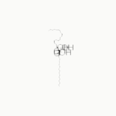 CCCCC/C=C\C/C=C\C/C=C\C/C=C\CCCC(=O)C(O)(C(=O)CCCCCCCCCCCCCCCCC)C(O)CO